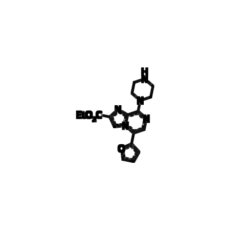 CCOC(=O)c1cn2c(-c3ccco3)cnc(N3CCNCC3)c2n1